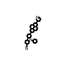 N#Cc1ccc2c3ccc(-c4cc5ccc6cc(-c7cccnc7)cc7ccc(c4)c5c67)cc3n(-c3ccccc3)c2c1